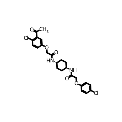 CC(=O)c1cc(OCC(=O)N[C@H]2CC[C@H](NC(=O)COc3ccc(Cl)cc3)CC2)ccc1Cl